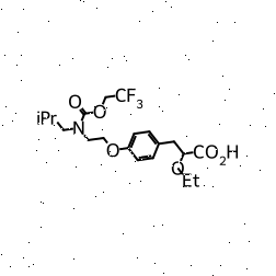 CCOC(Cc1ccc(OCCN(CC(C)C)C(=O)OCC(F)(F)F)cc1)C(=O)O